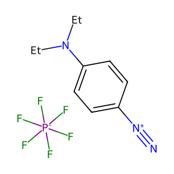 CCN(CC)c1ccc([N+]#N)cc1.F[P-](F)(F)(F)(F)F